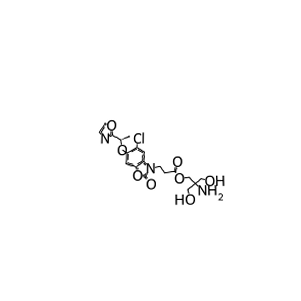 C[C@@H](Oc1cc2oc(=O)n(CCC(=O)OCC(N)(CO)CO)c2cc1Cl)c1ncco1